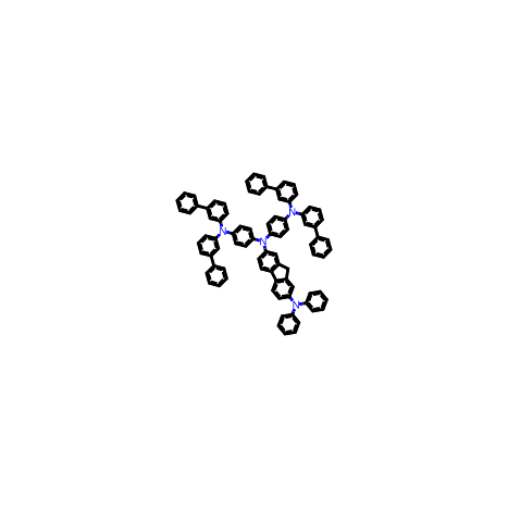 c1ccc(-c2cccc(N(c3ccc(N(c4ccc(N(c5cccc(-c6ccccc6)c5)c5cccc(-c6ccccc6)c5)cc4)c4ccc5c(c4)Cc4cc(N(c6ccccc6)c6ccccc6)ccc4-5)cc3)c3cccc(-c4ccccc4)c3)c2)cc1